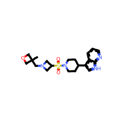 CC1(CN2CC(S(=O)(=O)N3CCC(c4c[nH]c5ncccc45)CC3)C2)COC1